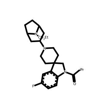 CCOC(=O)N1C2CCC1CC(N1CCC3(CC1)CN(C(=O)C(C)C)c1ccc(F)cc13)C2